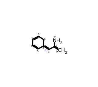 C=C(N)/C=C1/C=CC=CC1